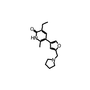 CCc1cc(-c2coc(CN3CCCC3)c2)c(C)[nH]c1=O